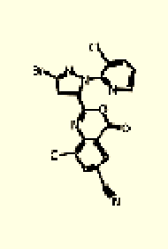 N#Cc1cc(Cl)c2nc(-c3cc(Br)nn3-c3ncccc3Cl)oc(=O)c2c1